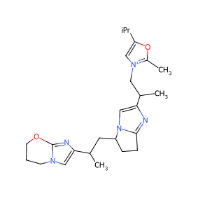 Cc1oc(C(C)C)c[n+]1CC(C)c1cn2c(n1)CCC2CC(C)c1cn2c(n1)OCCC2